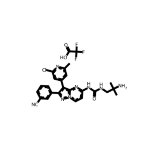 Cc1cc(-c2c(-c3cccc(C#N)c3)nn3ccc(NC(=O)NCC(C)(C)N)nc23)cc(Cl)n1.O=C(O)C(F)(F)F